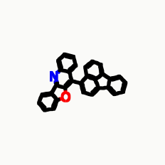 c1ccc2c(c1)-c1cccc3c(-c4c5ccccc5nc5c4oc4ccccc45)ccc-2c13